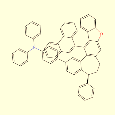 c1ccc([C@@H]2CCc3cc4oc5ccccc5c4c(-c4cc5ccccc5c5ccccc45)c3-c3cc(-c4ccc(N(c5ccccc5)c5ccccc5)cc4)ccc32)cc1